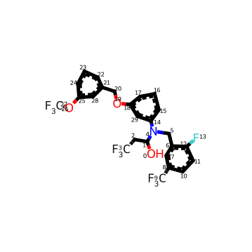 OC(CC(F)(F)F)N(Cc1cc(C(F)(F)F)ccc1F)c1cccc(OCc2cccc(OC(F)(F)F)c2)c1